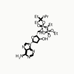 CCCC(CC)(CC)OP(=O)(OC[C@H]1O[C@@H](n2cnc3c(N)ncnc32)C[C@@H]1O)N(CC)P(=O)(O)OCC